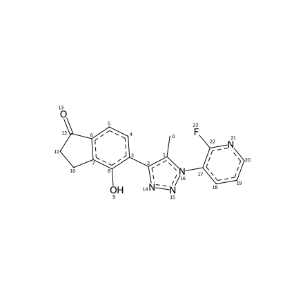 Cc1c(-c2ccc3c(c2O)CCC3=O)nnn1-c1cccnc1F